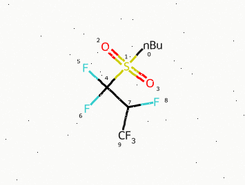 CCCCS(=O)(=O)C(F)(F)C(F)C(F)(F)F